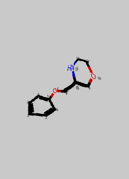 [c]1ccccc1OCC1COCCN1